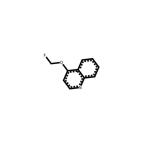 FCOc1ccnc2ccccc12